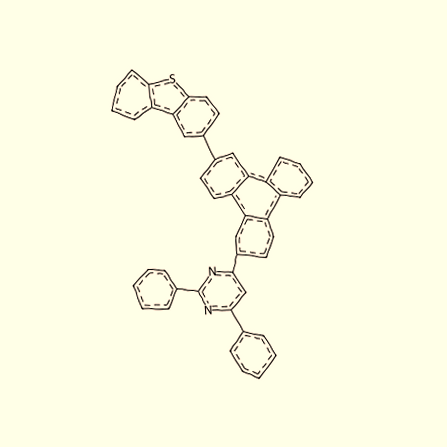 c1ccc(-c2cc(-c3ccc4c5ccccc5c5cc(-c6ccc7sc8ccccc8c7c6)ccc5c4c3)nc(-c3ccccc3)n2)cc1